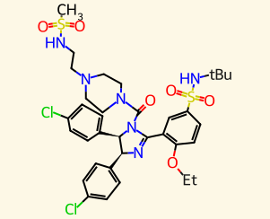 CCOc1ccc(S(=O)(=O)NC(C)(C)C)cc1C1=N[C@@H](c2ccc(Cl)cc2)[C@@H](c2ccc(Cl)cc2)N1C(=O)N1CCN(CCNS(C)(=O)=O)CC1